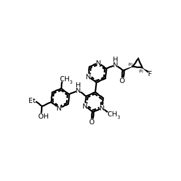 CCC(O)c1cc(C)c(Nc2nc(=O)n(C)cc2-c2cc(NC(=O)[C@H]3C[C@H]3F)ncn2)cn1